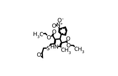 CCOC(=O)C1=C(C)NC(CSCC2CO2)=C(C(=O)OCC)C1c1cccc([N+](=O)[O-])c1